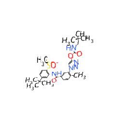 Cc1ccc(C(=O)Nc2cc(C(C)(C)C)ccc2[S+](C)[O-])cc1-n1cc(OC(=O)NCC(C)(C)C)nn1